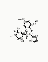 COc1ccc(CN(c2nncs2)S(=O)(=O)C2=CC(C)(F)C(F)C=C2F)c(OC)c1